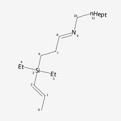 CC=C[Si](CC)(CC)CCC=NCCCCCCCC